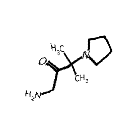 CC(C)(C(=O)CN)N1CCCC1